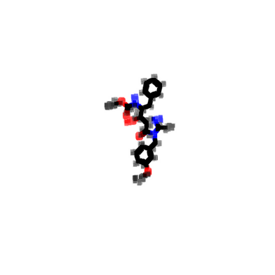 CC(C)C1N[C@@H]([C@@H](O)[C@H](Cc2ccccc2)NC(=O)OC(C)(C)C)C(=O)N1Cc1cccc(OC(F)(F)F)c1